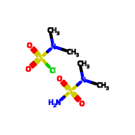 CN(C)S(=O)(=O)Cl.CN(C)S(N)(=O)=O